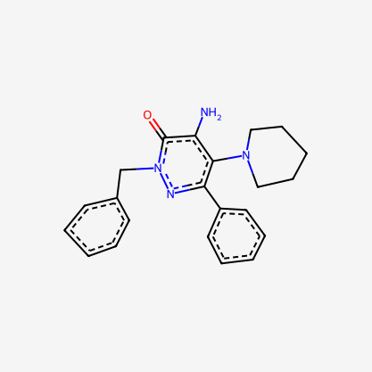 Nc1c(N2CCCCC2)c(-c2ccccc2)nn(Cc2ccccc2)c1=O